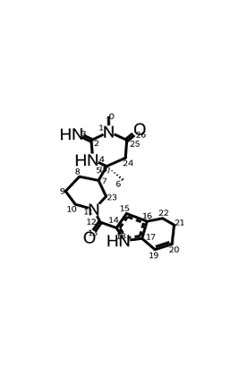 CN1C(=N)N[C@](C)(C2CCCN(C(=O)c3cc4c([nH]3)C=CCC4)C2)CC1=O